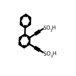 O=S(=O)(O)C#Cc1cccc(-c2ccccc2)c1C#CS(=O)(=O)O